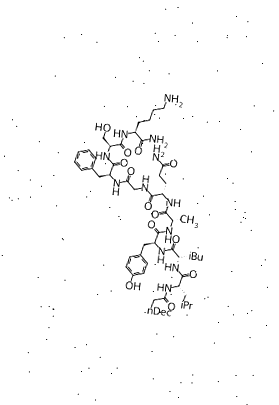 CCCCCCCCCCCC(=O)N[C@@H](CC(C)C)C(=O)N[C@H](C(=O)N[C@@H](Cc1ccc(O)cc1)C(=O)N[C@@H](C)C(=O)N[C@@H](CCC(N)=O)C(=O)NCC(=O)N[C@@H](Cc1ccccc1)C(=O)N[C@@H](CO)C(=O)N[C@@H](CCCCN)C(N)=O)[C@@H](C)CC